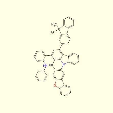 CC1(C)c2ccccc2-c2ccc(-c3cc(-c4ccccc4Nc4ccccc4)c4c5c3c3ccccc3n5-c3cc5c(cc3B4)oc3ccccc35)cc21